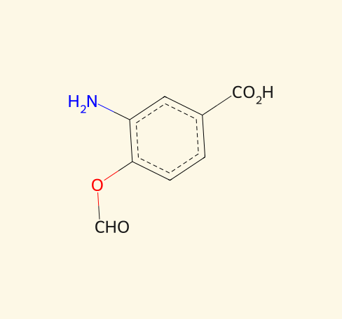 Nc1cc(C(=O)O)ccc1OC=O